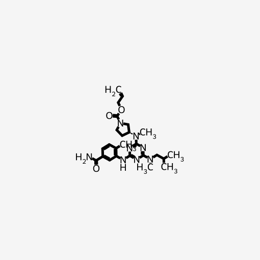 C=CCOC(=O)N1CC[C@@H](N(C)c2nc(Nc3cc(C(N)=O)ccc3C)nc(N(C)CC(C)C)n2)C1